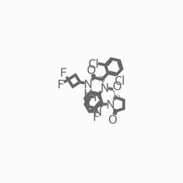 O=C(NC1CC(F)(F)C1)[C@H](c1c(Cl)cccc1Cl)N(C(=O)[C@@H]1CCC(=O)N1c1ncccn1)c1cccc(F)c1